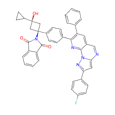 O=C1c2ccccc2C(=O)N1[C@]1(c2ccc(-c3nc4c(cnc5cc(-c6ccc(F)cc6)nn54)cc3-c3ccccc3)cc2)C[C@@](O)(C2CC2)C1